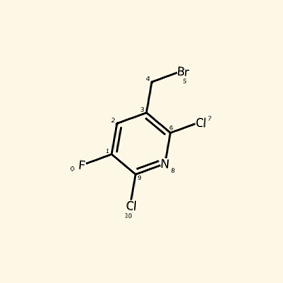 Fc1cc(CBr)c(Cl)nc1Cl